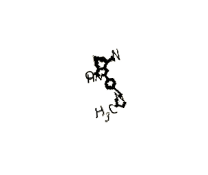 CC1CCN(Cc2ccc(-c3cc4c(C#N)cccc4c(=O)[nH]3)cc2)C1